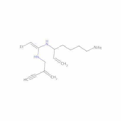 C#CC(=C)CN/C(=C\CC)NC(C=C)CCCCNC